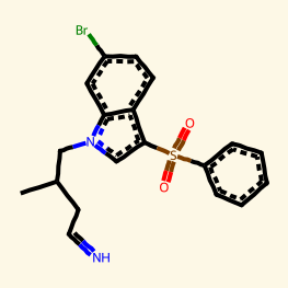 CC(CC=N)Cn1cc(S(=O)(=O)c2ccccc2)c2ccc(Br)cc21